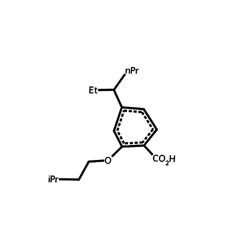 CCCC(CC)c1ccc(C(=O)O)c(OCCC(C)C)c1